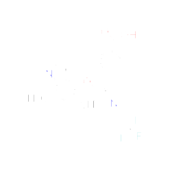 Cc1cc(C)c2[nH]ccc2c1O[C@@H]1CCN(CCC(F)(F)F)C[C@H]1c1ccc(C(=O)O)cc1